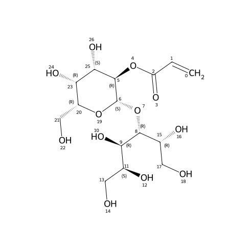 C=CC(=O)O[C@H]1[C@H](O[C@@H]([C@H](O)[C@@H](O)CO)[C@H](O)CO)O[C@H](CO)[C@H](O)[C@@H]1O